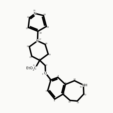 CCOC(=O)C1(COc2ccc3c(c2)CNCCC3)CCN(c2ccncc2)CC1